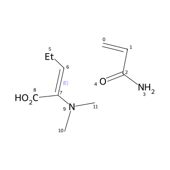 C=CC(N)=O.CC/C=C(\C(=O)O)N(C)C